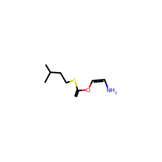 C=C(O/C=C\N)SCCC(C)C